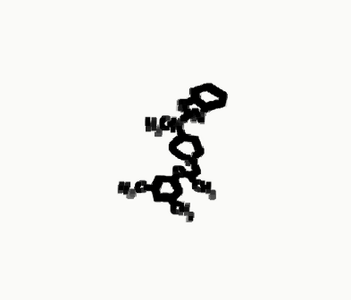 Cc1cc(C)cc(OC(C)CN2CCC(N(C)c3nc4ccccc4s3)CC2)c1